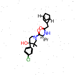 CC(C)[C@@H](NC(=O)CC1C[C@@H]2CC[C@H]1C2)C(=O)N1CC[C@](O)(c2ccc(Cl)cc2)C(C)(C)C1